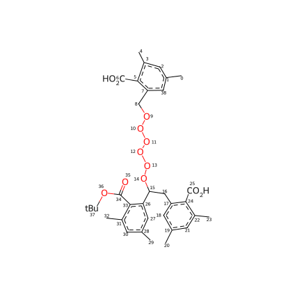 Cc1cc(C)c(C(=O)O)c(COOOOOOC(Cc2cc(C)cc(C)c2C(=O)O)c2cc(C)cc(C)c2C(=O)OC(C)(C)C)c1